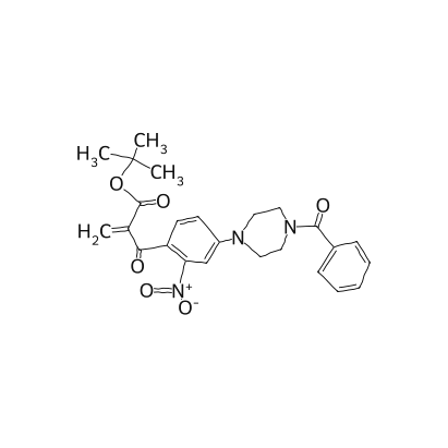 C=C(C(=O)OC(C)(C)C)C(=O)c1ccc(N2CCN(C(=O)c3ccccc3)CC2)cc1[N+](=O)[O-]